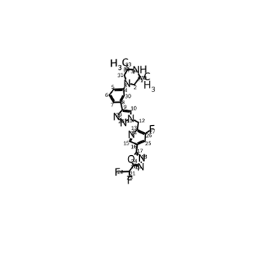 C[C@@H]1CN(c2cccc(-c3cn(Cc4ncc(-c5nnc(C(F)F)o5)cc4F)nn3)c2)C[C@H](C)N1